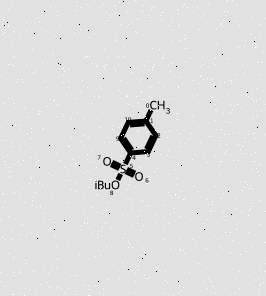 Cc1ccc(S(=O)(=O)OCC(C)C)cc1